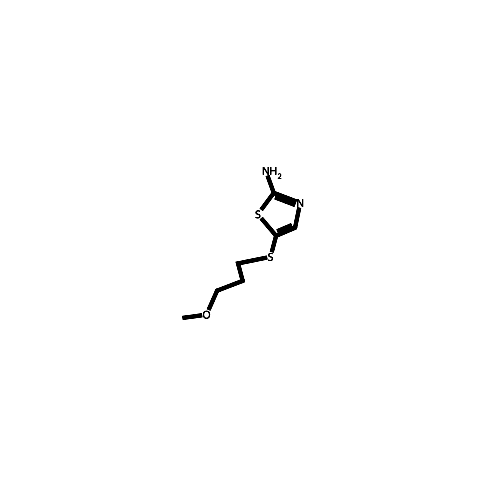 COCCCSc1cnc(N)s1